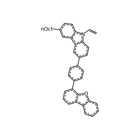 C=Cn1c2ccc(CCCCCCCC)cc2c2cc(-c3ccc(-c4cccc5c4oc4ccccc45)cc3)ccc21